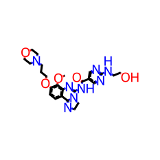 COc1c(OCCCN2CCOCC2)ccc2c1N=C(NC(=O)c1cnc(NCCO)nc1)N1CCN=C21